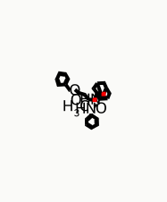 CC(CC(=O)OCc1ccccc1)CC12CC3CC(C1)C(NC(=O)Nc1ccccc1)C(C3)C2